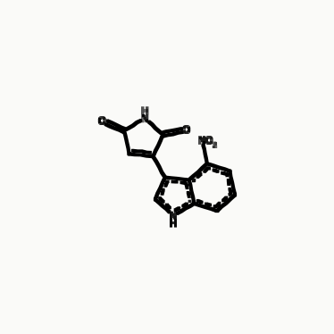 O=C1C=C(c2c[nH]c3cccc([N+](=O)[O-])c23)C(=O)N1